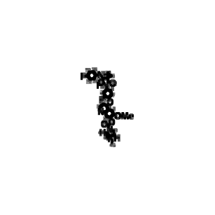 COc1cc2c(Oc3ccc(NC(=O)C4(C(=O)Nc5ccc(F)cc5)CC4)cc3F)ccnc2cc1OC(=O)N1C[C@H]2C[C@@H]1CN2C